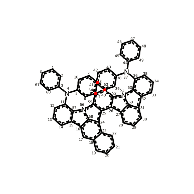 c1ccc(N(c2ccccc2)c2cccc3c4cc5ccccc5c5c6c7c8cccc9c%10cccc(N(c%11ccccc%11)c%11ccccc%11)c%10n(c7ncc6n(c23)c45)c98)cc1